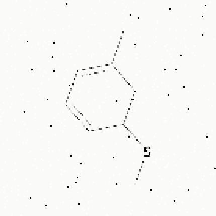 CSC1C=CC=C(C)C1